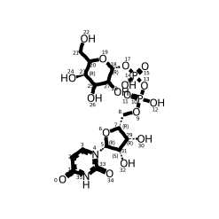 O=c1ccn([C@@H]2O[C@H](COP(=O)(O)OP(=O)(O)O[C@H]3OC(CO)[C@H](O)C(O)C3O)[C@H](O)[C@@H]2O)c(=O)[nH]1